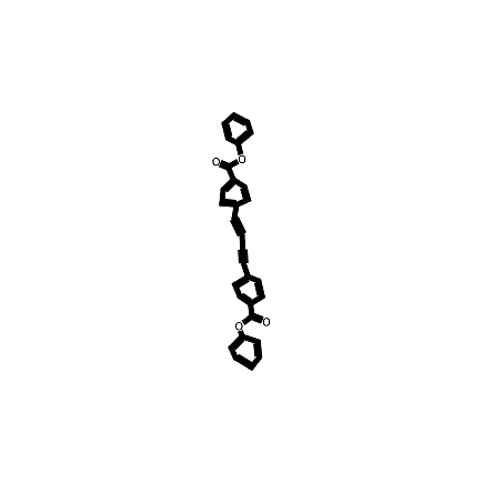 O=C(Oc1ccccc1)c1ccc(C#CC#Cc2ccc(C(=O)Oc3ccccc3)cc2)cc1